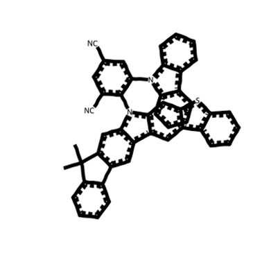 CC1(C)c2ccccc2-c2cc3c4cc5c(cc4n(-c4c(C#N)cc(C#N)cc4-n4c6ccccc6c6ccccc64)c3cc21)sc1ccccc15